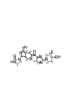 CC(C)n1nc(N2CCNC2=O)c2cnc(Nc3ccnc(N4CCC(O)C(F)C4)n3)cc21